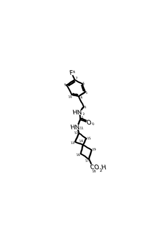 O=C(NCc1ccc(F)cc1)NC1CC2(C1)CC(C(=O)O)C2